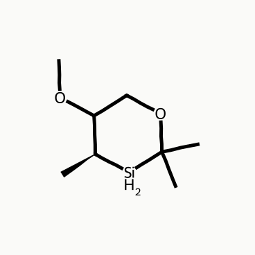 COC1COC(C)(C)[SiH2][C@H]1C